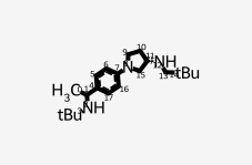 CC(NC(C)(C)C)c1ccc(N2CC[C@H](NCC(C)(C)C)C2)cc1